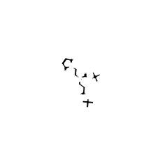 CC(C)(C)OC(=O)CCN(CCN1C(=O)C=CC1=O)C(=O)OC(C)(C)C